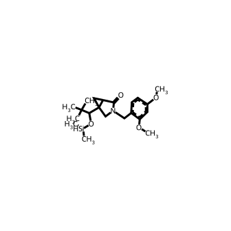 COc1ccc(CN2CC3(C(O[SiH](C)C)C(C)(C)C)CC3C2=O)c(OC)c1